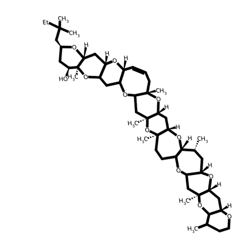 CCC(C)(C)C[C@@H]1C[C@H](O)[C@]2(C)OC3CC4OC5C[C@]6(C)O[C@]7(C)CCC8OC9C[C@]%10(C)OC%11C(C)CCO[C@H]%11C[C@H]%10O[C@H]9C[C@@H](C)[C@H]8O[C@H]7C[C@H]6O[C@@]5(C)C/C=C\[C@H]4O[C@H]3C[C@H]2O1